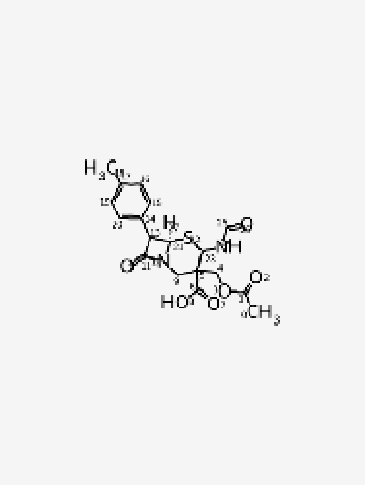 CC(=O)OCC1(C(=O)O)CN2C(=O)C(c3ccc(C)cc3)[C@H]2SC1NC=O